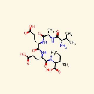 CC[C@H](C)[C@H](NC(=O)[C@H](CCC(=O)O)NC(=O)[C@H](CCC(=O)O)NC(=O)[C@H](C)NC(=O)[C@@H](N)C(C)C)C(=O)O